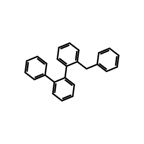 c1ccc(Cc2ccccc2-c2ccccc2-c2ccccc2)cc1